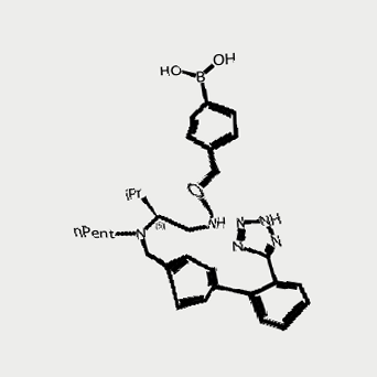 CCCCCN(Cc1ccc(-c2ccccc2-c2nn[nH]n2)cc1)[C@H](CNOCc1ccc(B(O)O)cc1)C(C)C